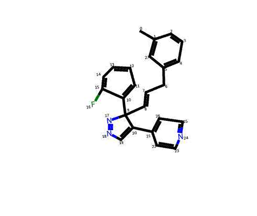 Cc1cccc(CC=CC2(c3ccccc3F)N=NC=C2c2ccncc2)c1